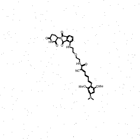 COc1cc(N(C)C)cc(OC)c1/C=C/C=C/C=C(\C#N)C(=O)NCCOCCNc1cccc2c1C(=O)N(C1CCC(=O)NC1=O)C2=O